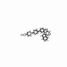 OC1CCN(c2ncc(-c3ccc4nc5n(c4c3)C3(CCc4ccccc43)COC5)cn2)CC1